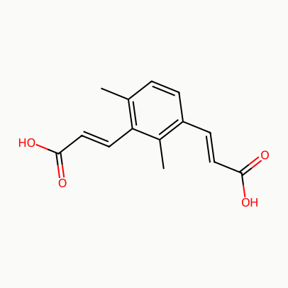 Cc1ccc(/C=C/C(=O)O)c(C)c1/C=C/C(=O)O